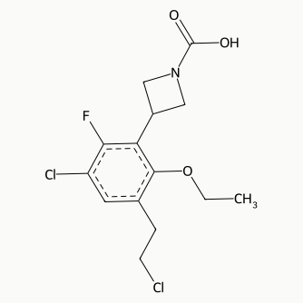 CCOc1c(CCCl)cc(Cl)c(F)c1C1CN(C(=O)O)C1